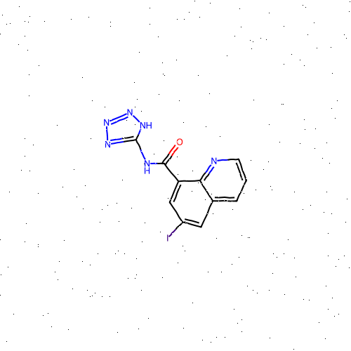 O=C(Nc1nnn[nH]1)c1cc(I)cc2cccnc12